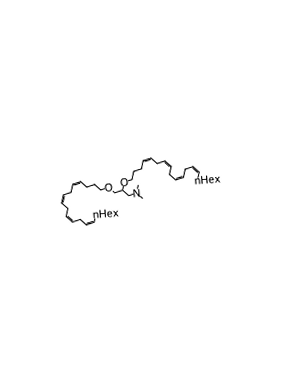 CCCCCC/C=C\C/C=C\C/C=C\C/C=C\CCCOCC(CN(C)C)OCCC/C=C\C/C=C\C/C=C\C/C=C\CCCCCC